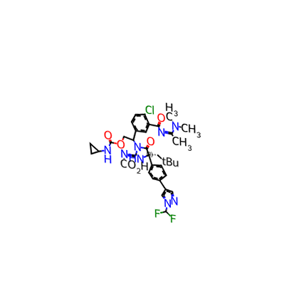 CC(=NC(=O)c1cc(C(COC(=O)NC2CC2)N2C(=O)[C@@](CC(C)(C)C)(c3ccc(-c4cnn(C(F)F)c4)cc3)NC2=NC(=O)O)ccc1Cl)N(C)C